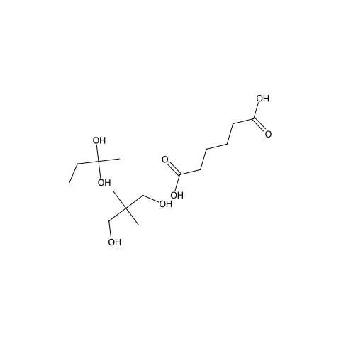 CC(C)(CO)CO.CCC(C)(O)O.O=C(O)CCCCC(=O)O